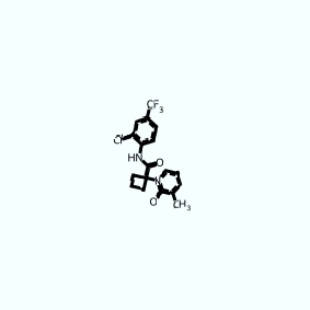 Cc1cccn(C2(C(=O)Nc3ccc(C(F)(F)F)cc3Cl)CCC2)c1=O